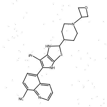 CC(C)c1c(-c2ccc(C#N)c3ncccc23)[nH]c2c1NC(C1CCN(C3COC3)CC1)S2